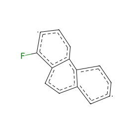 Fc1[c]ccc2c1ccc1c[c]ccc12